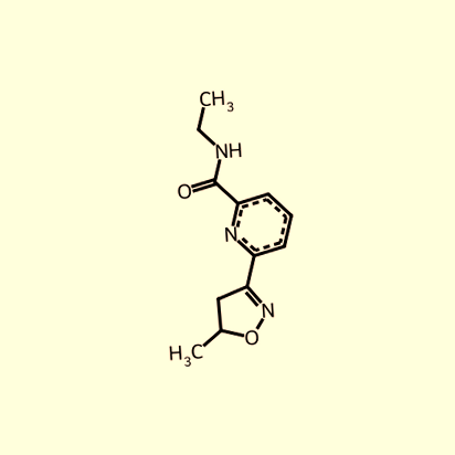 CCNC(=O)c1cccc(C2=NOC(C)C2)n1